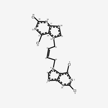 Clc1nc(Cl)c2c(ncn2C/C=C\Cn2cnc3nc(Cl)nc(Cl)c32)n1